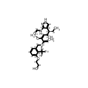 C=C(/C=C(OC)\C(=C/C)OCc1cccc(OCCO)c1C(F)(F)F)[C@H](CC)c1c[nH]nc1NC=O